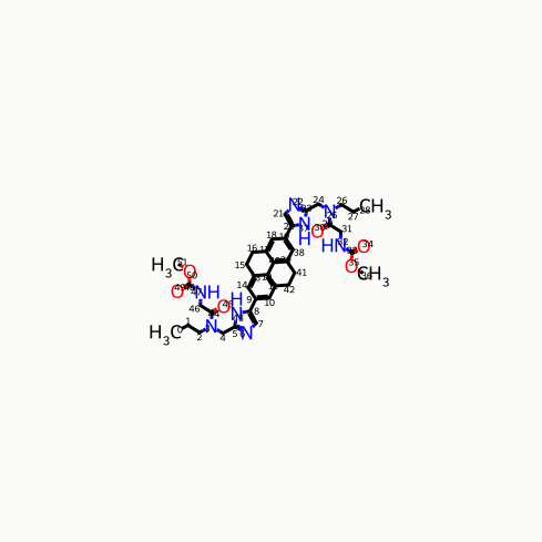 CCCN(Cc1ncc(-c2cc3c4c(c2)CCc2cc(-c5cnc(CN(CCC)C(=O)CNC(=O)OC)[nH]5)cc(c2-4)CC3)[nH]1)C(=O)CNC(=O)OC